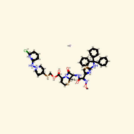 CO/N=C(\C(=O)NC1C(=O)N2C(C(=O)OCSc3cc[n+](Nc4cccc(Cl)n4)cc3)=CCS[C@@H]12)c1csc(NC(c2ccccc2)(c2ccccc2)c2ccccc2)n1.[I-]